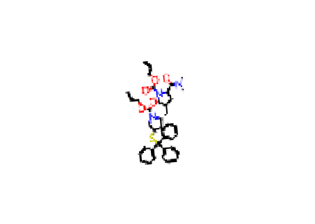 C=CCOC(=O)N1CC(C[C@@H]2C[C@H](SC(c3ccccc3)(c3ccccc3)c3ccccc3)CN2C(=O)OCC=C)CC1C(=O)N(C)C